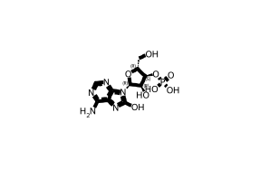 Nc1ncnc2c1nc(O)n2[C@@H]1O[C@H](CO)[C@@H](OP(=O)(O)O)[C@H]1O